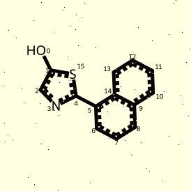 Oc1cnc(-c2cccc3ccccc23)s1